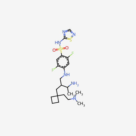 CC(N)C(CNc1cc(F)c(S(=O)(=O)Nc2ncns2)cc1F)CC1(CCN(C)C)CCC1